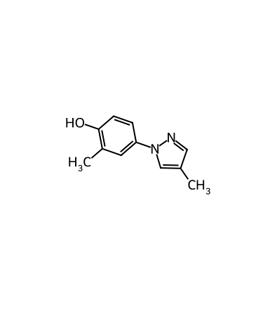 Cc1cnn(-c2ccc(O)c(C)c2)c1